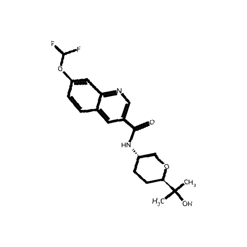 CC(C)(O)[C@H]1CC[C@H](NC(=O)c2cnc3cc(OC(F)F)ccc3c2)CO1